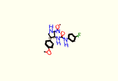 CO/N=C1\NC[C@@H](c2ccc(OC)cc2)[C@@H]1NC(=O)Nc1ccc(F)cc1